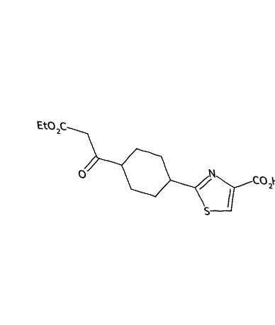 CCOC(=O)CC(=O)C1CCC(c2nc(C(=O)O)cs2)CC1